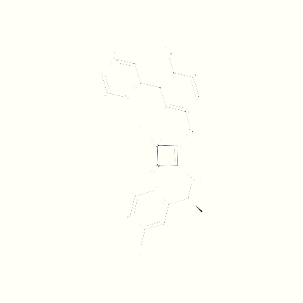 C[C@H](Nc1c(Nc2ccc(O)c(-c3cnccn3)c2)c(=O)c1=O)c1cccc(O)c1